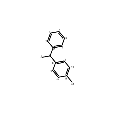 [CH2]C(c1ccccc1)c1ccc(C)cc1